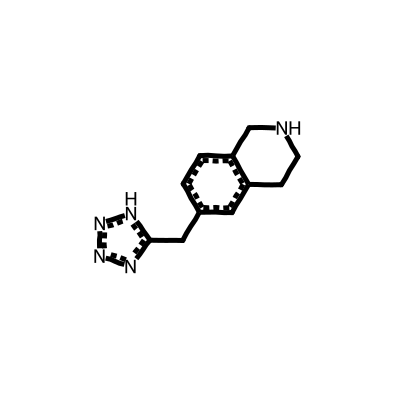 c1cc2c(cc1Cc1nnn[nH]1)CCNC2